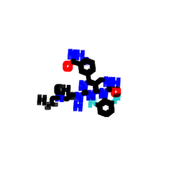 CN(C)CCNc1nc(-c2cccc(C(N)=O)c2)c2c(n1)N(c1c(F)cccc1F)C(=O)NC2